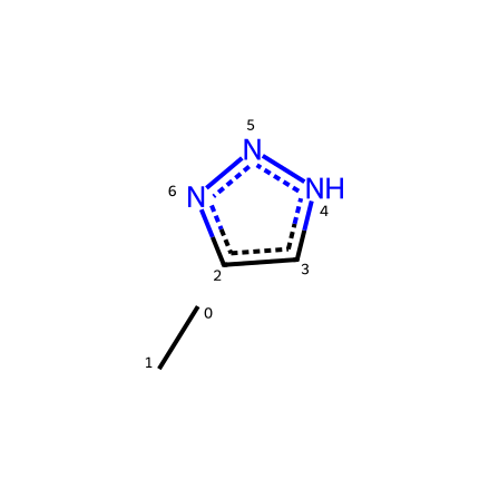 CC.c1c[nH]nn1